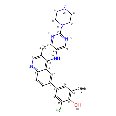 CCc1cnc2ccc(-c3cc(Cl)c(O)c(OC)c3)cc2c1Nc1cnc(N2CCNCC2)nc1